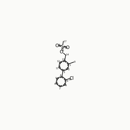 Cc1cc(-c2ccccc2Cl)ccc1COS(C)(=O)=O